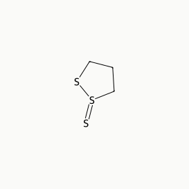 S=S1CCCS1